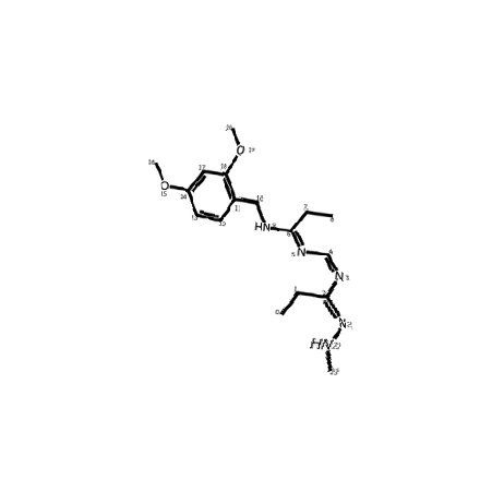 CCC(/N=C\N=C(/CC)NCc1ccc(OC)cc1OC)=N\NC